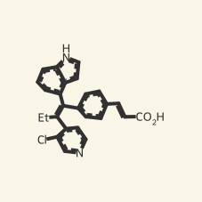 CC/C(=C(/c1ccc(C=CC(=O)O)cc1)c1cccc2[nH]ccc12)c1ccncc1Cl